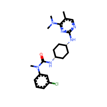 Cc1cnc(N[C@H]2CC[C@@H](NC(=O)N(C)c3cccc(Cl)c3)CC2)nc1N(C)C